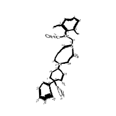 Cc1cccc(C)c1N(C=O)CN1CCN(C2CCC(C#N)(c3ccccc3)CC2)CC1